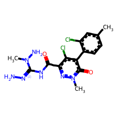 Cc1ccc(-c2c(Cl)c(C(=O)N/C(=N/N)N(C)N)nn(C)c2=O)c(Cl)c1